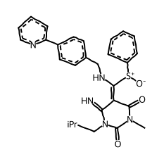 CC(C)CN1C(=N)/C(=C(\NCc2ccc(-c3ccccn3)cc2)[S+]([O-])c2ccccc2)C(=O)N(C)C1=O